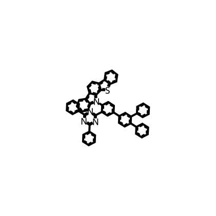 c1ccc(-c2nc(-c3ccccc3)nc(-c3cc(-c4ccc(-c5ccccc5)c(-c5ccccc5)c4)ccc3-n3c4ccccc4c4ccc5c6ccccc6sc5c43)n2)cc1